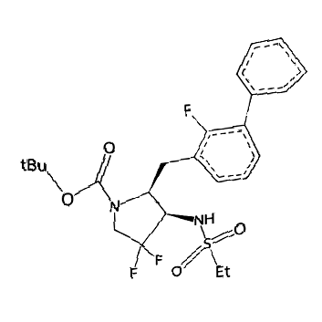 CCS(=O)(=O)N[C@@H]1[C@H](Cc2cccc(-c3ccccc3)c2F)N(C(=O)OC(C)(C)C)CC1(F)F